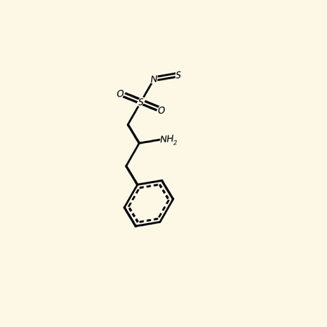 NC(Cc1ccccc1)CS(=O)(=O)N=S